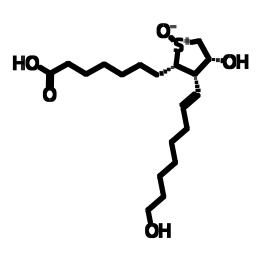 O=C(O)CCCCCC[C@H]1[C@@H](C=CCCCCCCO)[C@@H](O)C[S+]1[O-]